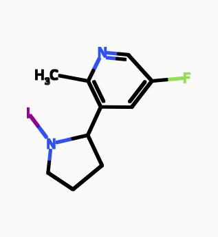 Cc1ncc(F)cc1C1CCCN1I